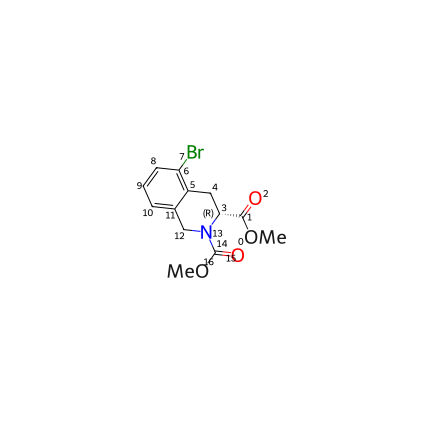 COC(=O)[C@H]1Cc2c(Br)cccc2CN1C(=O)OC